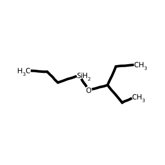 CCC[SiH2]OC(CC)CC